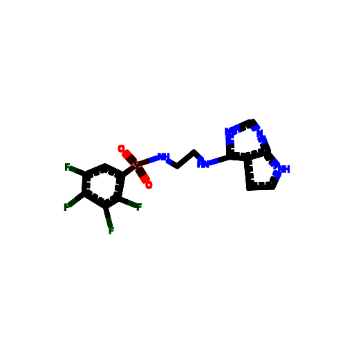 O=S(=O)(NCCNc1ncnc2[nH]ccc12)c1cc(F)c(F)c(F)c1F